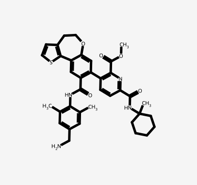 COC(=O)c1nc(C(=O)NC2(C)CCCCC2)ccc1-c1cc2c(cc1C(=O)Nc1c(C)cc(CN)cc1C)-c1sccc1CCO2